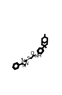 CC1CC2CC(C1)CC(C)(c1ccc(NC(=O)CSc3nnc(-c4ccccc4)n3C)cc1)C2